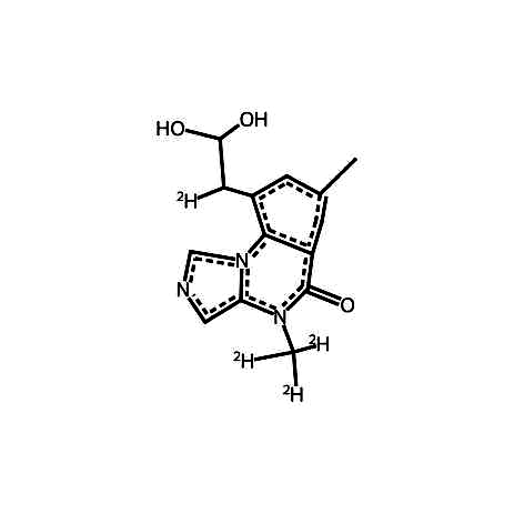 [2H]C(c1cc(C)cc2c(=O)n(C([2H])([2H])[2H])c3cncn3c12)C(O)O